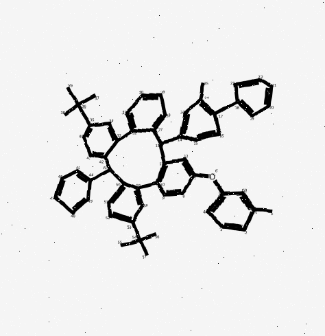 Cc1cccc(Oc2ccc3c(c2)C(c2ccc(-c4ccccc4)c(C)c2)c2ccccc2-c2cc(C(C)(C)C)ccc2C(c2ccccc2)c2ccc(C(C)(C)C)cc2-3)c1